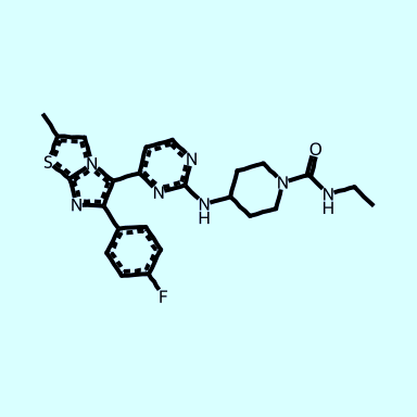 CCNC(=O)N1CCC(Nc2nccc(-c3c(-c4ccc(F)cc4)nc4sc(C)cn34)n2)CC1